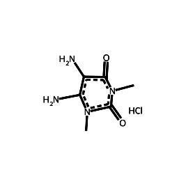 Cl.Cn1c(N)c(N)c(=O)n(C)c1=O